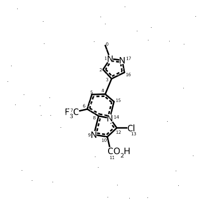 Cn1cc(-c2cc(C(F)(F)F)c3nc(C(=O)O)c(Cl)n3c2)cn1